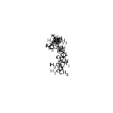 CC1(C)CCN(C(C)(C)/C=C(\C#N)C(=O)N2CCC[C@H](OC(=O)N[C@@H](Cc3ccc(F)cc3)B3O[C@@H]4C[C@@H]5C[C@@H](C5(C)C)[C@]4(C)O3)C2)C1